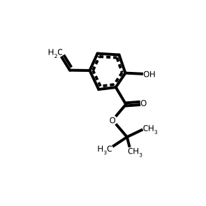 C=Cc1ccc(O)c(C(=O)OC(C)(C)C)c1